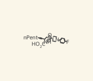 CCCCCC#CC(CS(=O)(=O)N1CCN(c2ccc(F)cc2)CC1)NC(=O)O